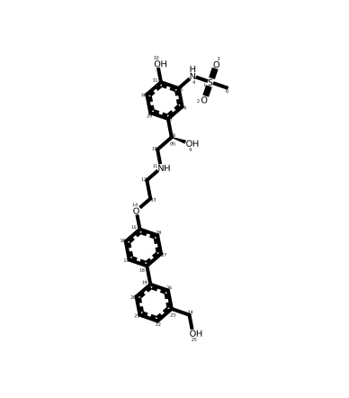 CS(=O)(=O)Nc1cc([C@@H](O)CNCCOc2ccc(-c3cccc(CO)c3)cc2)ccc1O